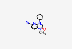 CN1C(=O)CN(C2CCCCC2)c2nc(C#N)ccc21